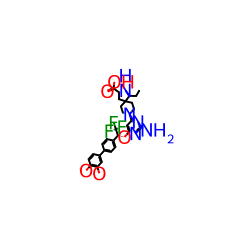 CCC1NC(C(=O)O)CC12CCN(c1cc(O[C@H](c3ccc(-c4ccc(OC)c(OC)c4)cc3)C(F)(F)F)nc(N)n1)CC2